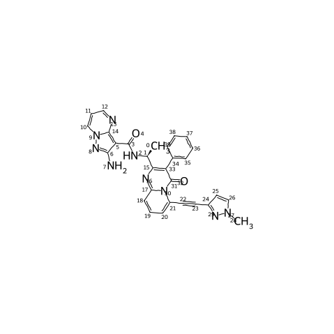 C[C@H](NC(=O)c1c(N)nn2cccnc12)c1nc2cccc(C#Cc3ccn(C)n3)n2c(=O)c1-c1ccccc1